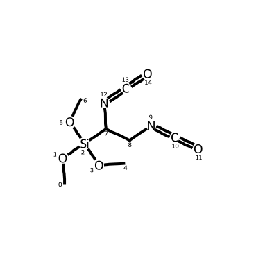 CO[Si](OC)(OC)C(CN=C=O)N=C=O